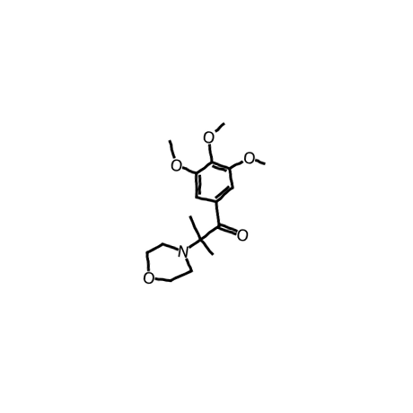 COc1cc(C(=O)C(C)(C)N2CCOCC2)cc(OC)c1OC